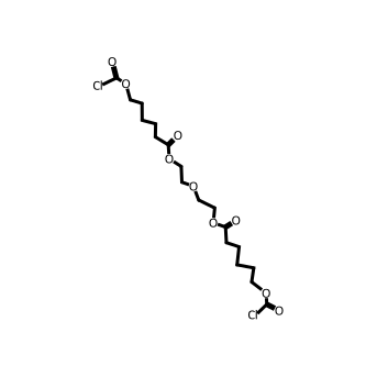 O=C(Cl)OCCCCCC(=O)OCCOCCOC(=O)CCCCCOC(=O)Cl